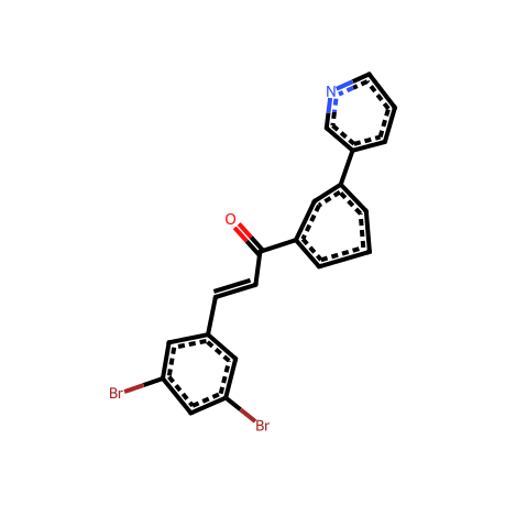 O=C(/C=C/c1cc(Br)cc(Br)c1)c1cccc(-c2cccnc2)c1